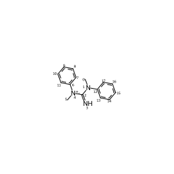 CN(C(=N)[N+](C)c1ccccc1)c1ccccc1